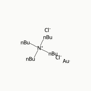 CCCC[N+](CCCC)(CCCC)CCCC.[Au].[Cl-].[Cl-]